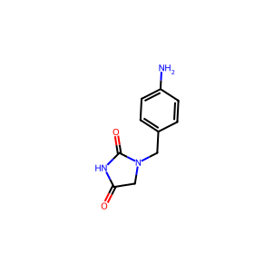 Nc1ccc(CN2CC(=O)NC2=O)cc1